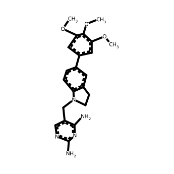 COc1cc(-c2ccc3c(c2)CCN3Cc2cnc(N)nc2N)cc(OC)c1OC